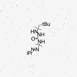 CC(C)N=NC(C)(C)NC(=O)NNC(C)(C)CC(C)(C)C